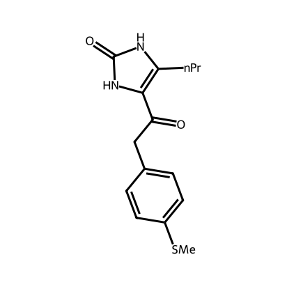 CCCc1[nH]c(=O)[nH]c1C(=O)Cc1ccc(SC)cc1